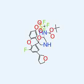 CC(C)(C)OC(=O)N[C@@H]1CNCC2(O1)c1cc(OS(=O)(=O)C(F)(F)F)ccc1Oc1c(F)cc(C3=CCCOC3)cc12